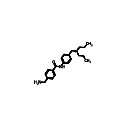 CCCN(CCC)Cc1ccc(NC(=O)c2ccc(CN)cc2)cc1